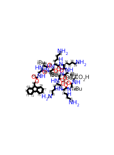 CC[C@H](C)[C@H](NC(=O)[C@@H](NC(=O)[C@H](CCCCN)NC(=O)[C@H](CCCCN)NC(=O)[C@@H](NC(=O)[C@@H](NC(=O)[C@H](CCCCN)NC(=O)[C@H](CCCCN)NC(=O)[C@@H](NC(=O)[C@@H](NC(=O)CNC(=O)OCC1c2ccccc2-c2ccccc21)[C@@H](C)CC)[C@@H](C)CC)[C@@H](C)CC)[C@@H](C)CC)[C@@H](C)CC)C(=O)O